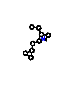 C=c1c2ccccc2c2cc(-c3cccc(-c4ccccc4)c3)cc3c4cc(-c5cccc(-c6ccc7c8ccccc8c8ccccc8c7c6)c5)ccc4n1c23